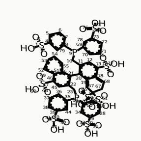 O=S(=O)(O)c1cccc(P(Cc2cc(S(=O)(=O)O)c3c(c2-c2c(CP(c4cccc(S(=O)(=O)O)c4)c4cccc(S(=O)(=O)O)c4)cc(S(=O)(=O)O)c4ccccc24)=CC(S(=O)(=O)O)(S(=O)(=O)O)CC=3)c2cccc(S(=O)(=O)O)c2)c1